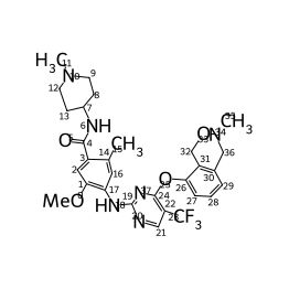 COc1cc(C(=O)NC2CCN(C)CC2)c(C)cc1Nc1ncc(C(F)(F)F)c(Oc2cccc3c2CON(C)C3)n1